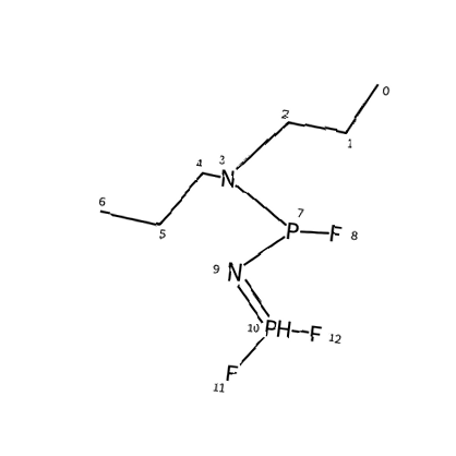 CCCN(CCC)P(F)N=[PH](F)F